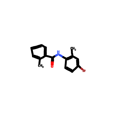 Cc1cc(Br)ccc1NC(=O)c1ccccc1C